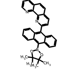 CC1(C)OB(c2c3ccccc3c(-c3ccc4ccc5cccnc5c4n3)c3ccccc23)OC1(C)C